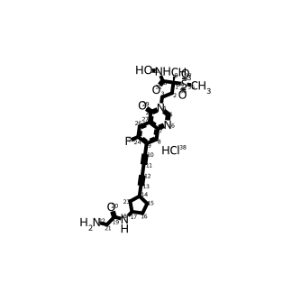 C[C@@](CCn1cnc2cc(C#CC#CC3CCC(NC(=O)CN)C3)c(F)cc2c1=O)(C(=O)NO)S(C)(=O)=O.Cl